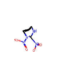 O=[N+]([O-])c1[nH]cc[n+]1[N+](=O)[O-]